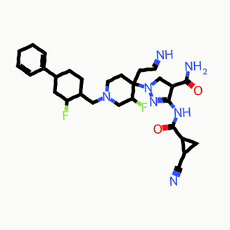 N#CC1CC1C(=O)NC1=NN(C2(CC=N)CCN(CC3CCC(C4=CCCC=C4)CC3F)CC2F)CC1C(N)=O